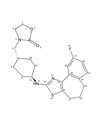 O=C1OCCN1C[C@H]1CC[C@H](Nc2nc3c(s2)CCCc2ccc(F)cc2-3)CC1